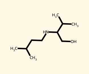 CC(C)CCNC(CO)C(C)C